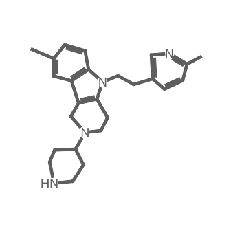 Cc1ccc2c(c1)c1c(n2CCc2ccc(C)nc2)CCN(C2CCNCC2)C1